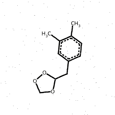 Cc1ccc(CC2OCOO2)cc1C